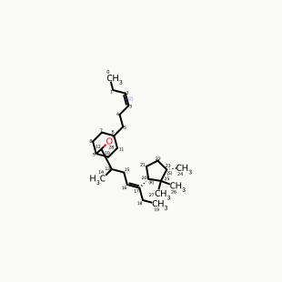 CC/C=C\CCC12CCC(CC1)C(C(C)CC=C(CC)[C@@H]1CC[C@H](C)C1(C)C)O2